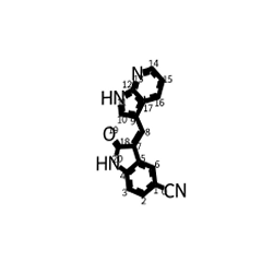 N#Cc1ccc2c(c1)C(=Cc1c[nH]c3ncccc13)C(=O)N2